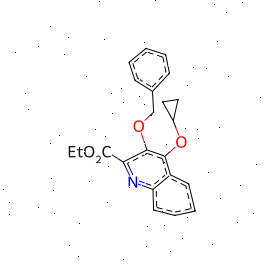 CCOC(=O)c1nc2ccccc2c(OC2CC2)c1OCc1ccccc1